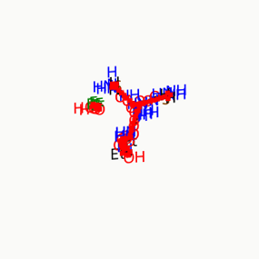 CCc1c2c(nc3ccc(O)cc13)-c1cc3c(c(=O)n1C2)COC(=O)[C@@]3(CC)OC(=O)[C@H](C)NC(=O)NCCOCCOCCNC(=O)Nc1cc(C(=O)NCCOCCNC(=O)CCCC[C@@H]2SC[C@@H]3NC(=N)N[C@@H]32)cc(C(=O)NCCOCCNC(=O)CCCC[C@@H]2SC[C@@H]3NC(=N)N[C@@H]32)c1.O=C(O)C(F)(F)F.O=C(O)C(F)(F)F